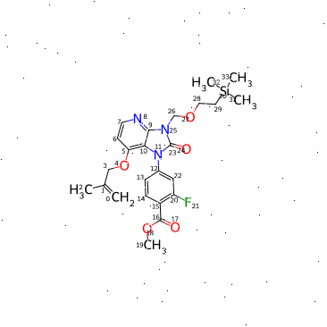 C=C(C)COc1ccnc2c1n(-c1ccc(C(=O)OC)c(F)c1)c(=O)n2COCC[Si](C)(C)C